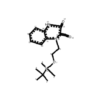 CC(C)(C)[Si](C)(C)OCCn1c(=O)c(=O)[nH]c2ccccc21